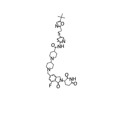 CC(C)(C)c1cnc(CSc2cnc(NC(=O)C3CCN(C4CCN(Cc5cc(F)c6c(c5)CN(C5CCC(=O)NC5=O)C6=O)CC4)CC3)s2)o1